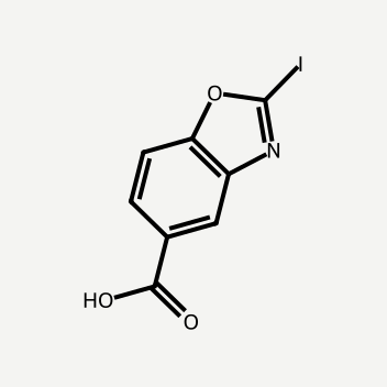 O=C(O)c1ccc2oc(I)nc2c1